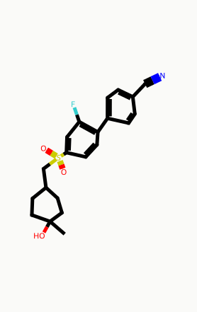 CC1(O)CCC(CS(=O)(=O)c2ccc(-c3ccc(C#N)cc3)c(F)c2)CC1